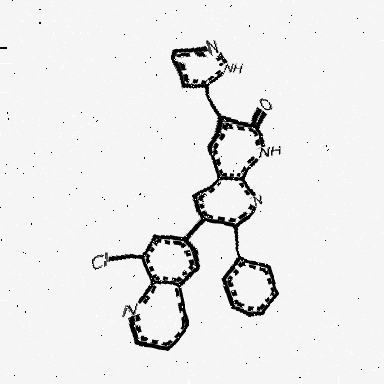 O=c1[nH]c2nc(-c3ccccc3)c(-c3cc(Cl)c4ncccc4c3)cc2cc1-c1ccn[nH]1